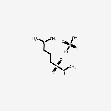 CNS(=O)(=O)CCCN(C)C.O=S(=O)(O)O